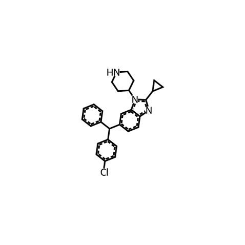 Clc1ccc(C(c2ccccc2)c2ccc3nc(C4CC4)n(C4CCNCC4)c3c2)cc1